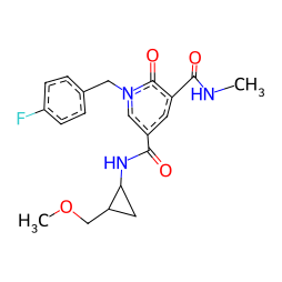 CNC(=O)c1cc(C(=O)NC2CC2COC)cn(Cc2ccc(F)cc2)c1=O